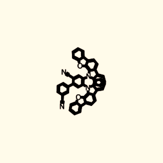 N#Cc1cccc(-c2cc(-n3c4ccccc4c4ccc5c6ccccc6oc5c43)c(-n3c4ccccc4c4ccc5c6ccccc6oc5c43)cc2C#N)c1